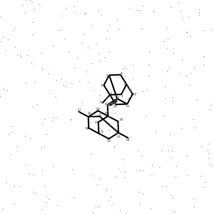 CC12CC3CC(C1)C(=CC14CC5CC(C)(CC(C)(C5)C1)C4)C(C3)C2